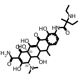 CCNC(C)(CC)C(=O)Nc1ccc2c(c1O)C(=O)C1=C(O)[C@]3(O)C(=O)C(C(N)=O)=C(O)[C@@H](N(C)C)C3C(O)C1C2C